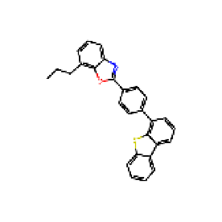 CCCc1cccc2nc(-c3ccc(-c4cccc5c4sc4ccccc45)cc3)oc12